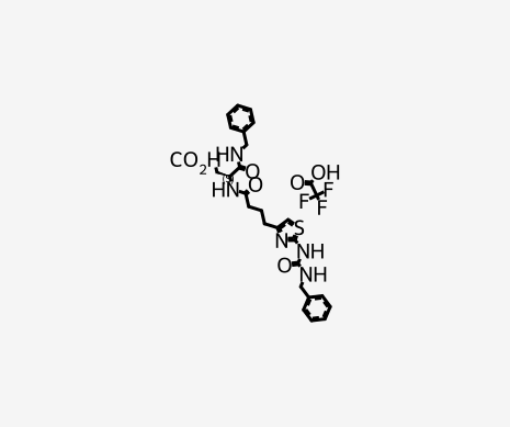 O=C(O)C(F)(F)F.O=C(O)C[C@H](NC(=O)CCCc1csc(NC(=O)NCc2ccccc2)n1)C(=O)NCc1ccccc1